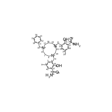 Cc1cc(CN2CCCN(Cc3ccccc3)CCCN(Cc3cc(C)cc(C(N)=O)c3O)CC2)c(O)c(C(N)=O)c1